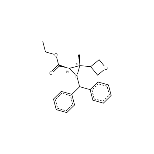 CCOC(=O)[C@@H]1N(C(c2ccccc2)c2ccccc2)[C@@]1(C)C1COC1